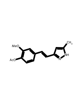 COc1cc(C=Cc2cc(C)[nH]n2)ccc1OC(C)=O